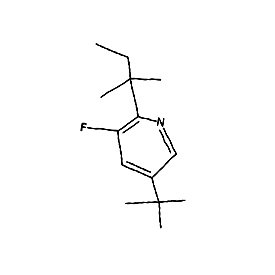 CCC(C)(C)c1ncc(C(C)(C)C)cc1F